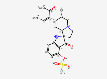 CC[C@@H]1CN2CC[C@]3(Nc4cccc(OS(=O)(=O)C(F)(F)F)c4C3=O)C2C[C@@H]1C(=COC)C(=O)OC